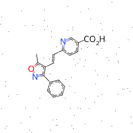 Cc1onc(-c2ccccc2)c1/C=C/c1ccc(C(=O)O)cn1